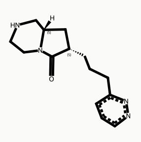 O=C1[C@@H](CCCc2cccnn2)C[C@H]2CNCCN12